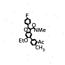 CCOc1cc2oc(-c3ccc(F)cc3)c(C(=O)NC)c2cc1-c1ccc(C)c(C(C)=O)c1